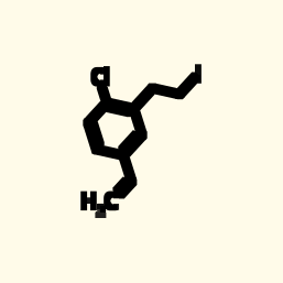 C=Cc1ccc(Cl)c(CCI)c1